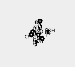 COc1ccccc1N1CCN(C(=O)NC(C(=O)N2C[C@@H](CN(C)C)Cc3cc(Cl)ccc32)C(C)c2c[nH]c3ccccc23)CC1.O=C(O)C(F)(F)F.O=C(O)C(F)(F)F